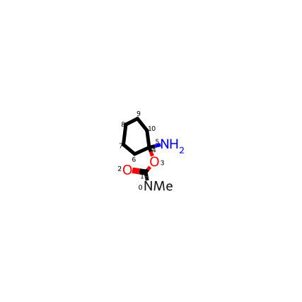 CNC(=O)OC1(N)CCCCC1